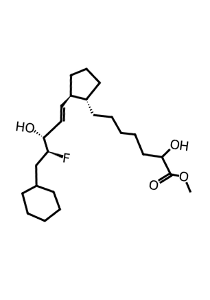 COC(=O)C(O)CCCCC[C@H]1CCC[C@@H]1C=C[C@@H](O)[C@@H](F)CC1CCCCC1